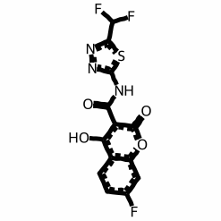 O=C(Nc1nnc(C(F)F)s1)c1c(O)c2ccc(F)cc2oc1=O